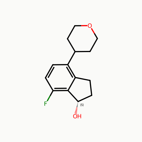 O[C@H]1CCc2c(C3CCOCC3)ccc(F)c21